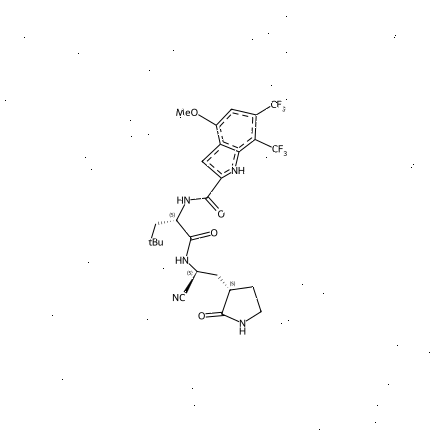 COc1cc(C(F)(F)F)c(C(F)(F)F)c2[nH]c(C(=O)N[C@@H](CC(C)(C)C)C(=O)N[C@H](C#N)C[C@@H]3CCNC3=O)cc12